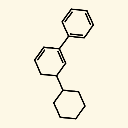 C1=CC(c2ccccc2)=CC(C2CCCCC2)C1